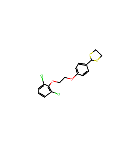 Clc1cccc(Cl)c1OCCOc1ccc(C2SCCS2)cc1